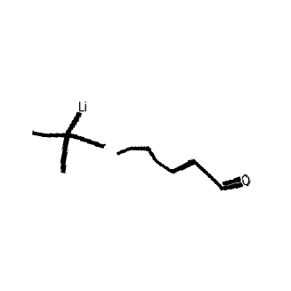 CCCCC=O.[Li][C](C)(C)C